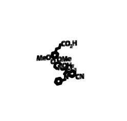 COc1cc(CCCC(=O)O)cc(OC)c1OC1CCN(CC(O)(c2cn(Cc3ccccc3)c3cc(C#N)ccc23)C(F)(F)F)CC1